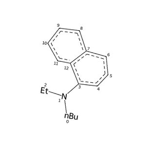 CCCCN(CC)c1cccc2ccccc12